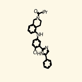 CC(C)C(=O)N1CCc2c(cccc2Nc2ccc(Cl)c(-c3ncc(-c4ccccc4)[nH]3)c2)C1